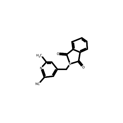 Cc1cc(CN2C(=O)c3ccccc3C2=O)cc(C#N)n1